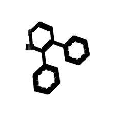 C1=CC(c2ccccc2)=C(c2ccccc2)NS1